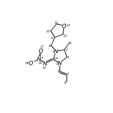 CC=CN1CC(C)N(CC2CCOC2)C1=N[N+](=O)[O-]